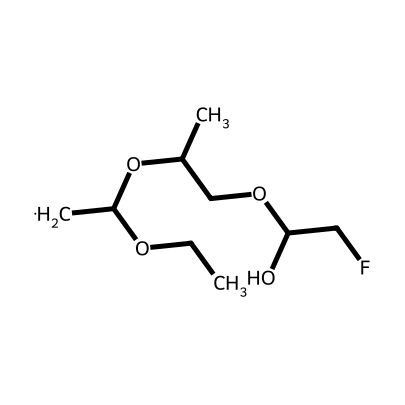 [CH2]C(OCC)OC(C)COC(O)CF